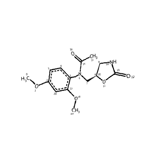 COc1ccc(N(C[C@H]2CNC(=O)O2)C(C)=O)c(OC)c1